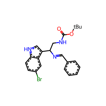 CC(C)(C)OC(=O)NCC(/N=C/c1ccccc1)c1c[nH]c2ccc(Br)cc12